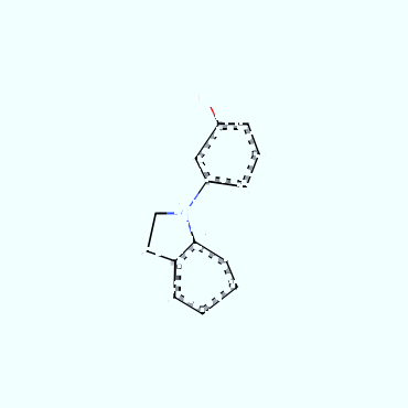 Oc1cccc(N2CCc3cc[c]cc32)c1